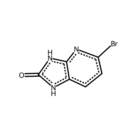 O=c1[nH]c2ccc(Br)nc2[nH]1